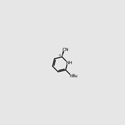 CCCCC1=CC=C[C@@H](C#N)N1